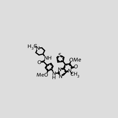 COc1cc(C(=O)NC2CCN(C)CC2)ccc1Nc1ncc2c(n1)c(-c1ccsc1)c(OC)c(=O)n2C